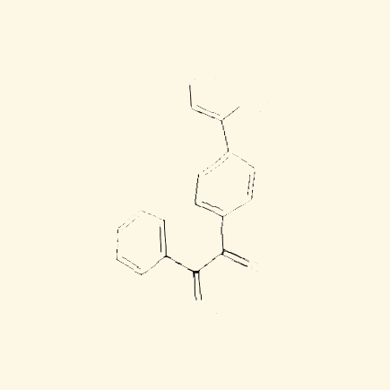 C=C(C(=O)c1ccc(C(=CC(=O)O)C(=O)O)cc1)c1ccccc1